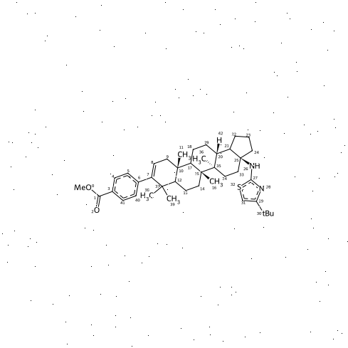 COC(=O)c1ccc(C2=CC[C@@]3(C)C(CC[C@]4(C)C3CC[C@@H]3C5CCC[C@]5(Nc5nc(C(C)(C)C)cs5)CC[C@]34C)C2(C)C)cc1